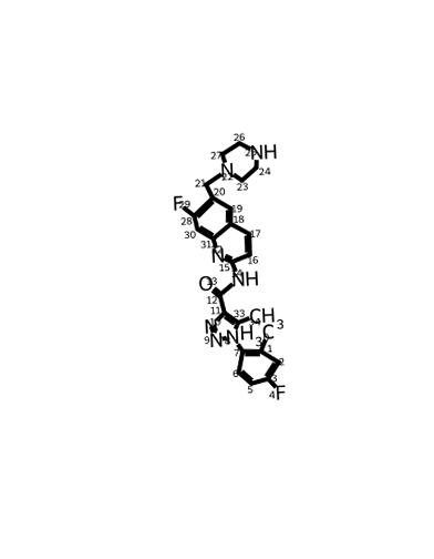 Cc1cc(F)ccc1-n1nnc(C(=O)Nc2ccc3cc(CN4CCNCC4)c(F)cc3n2)c1C